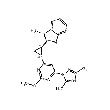 COc1nc([C@@H]2C[C@H]2c2nc3ccccc3n2C)cc(-n2nc(C)nc2C)n1